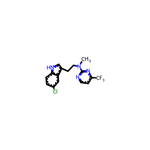 CN(CCc1c[nH]c2ccc(Cl)cc12)c1nccc(C(F)(F)F)n1